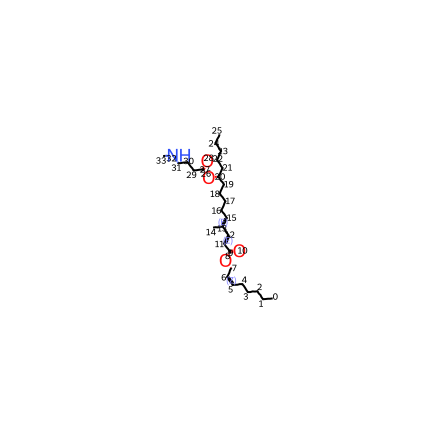 CCCCC/C=C\COC(=O)/C=C/C(C)=C/CCCCC(CCCCC)OC(=O)CCCNC